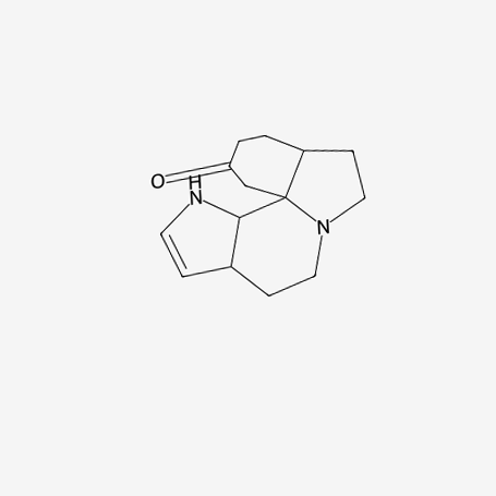 O=C1CCC2CCN3CCC4C=CNC4C23C1